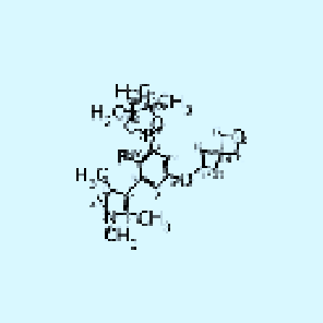 Cc1nn(C)c(C)c1-c1cc(OC2CC3(COC3)C2)cc(B2OC(C)(C)C(C)(C)O2)c1F